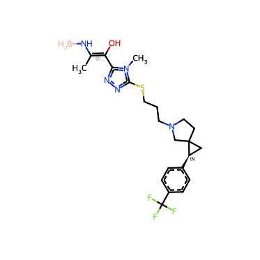 BN/C(C)=C(\O)c1nnc(SCCCN2CCC3(C[C@H]3c3ccc(C(F)(F)F)cc3)C2)n1C